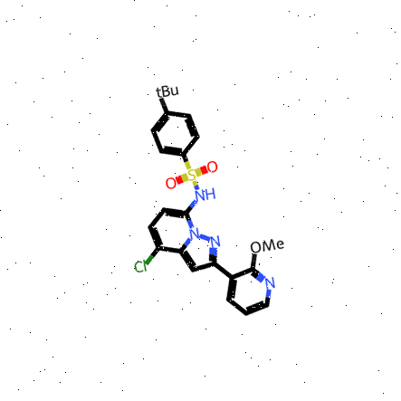 COc1ncccc1-c1cc2c(Cl)ccc(NS(=O)(=O)c3ccc(C(C)(C)C)cc3)n2n1